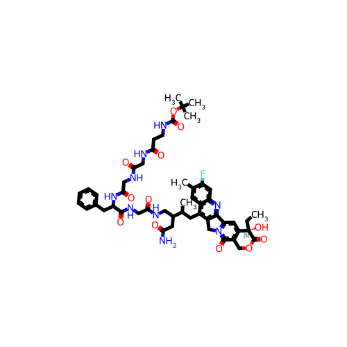 CC[C@@]1(O)C(=O)OCc2c1cc1n(c2=O)Cc2c-1nc1cc(F)c(C)cc1c2CC(C)C(CNC(=O)CNC(=O)C(Cc1ccccc1)NC(=O)CNC(=O)CNC(=O)CCNC(=O)OC(C)(C)C)CC(N)=O